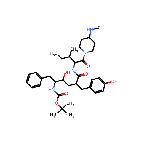 CCC(C)C(NC(=O)C(Cc1ccc(O)cc1)CC(O)C(Cc1ccccc1)NC(=O)OC(C)(C)C)C(=O)N1CCC(NC)CC1